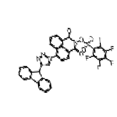 O=C1c2cccc3c(-n4cc(C5c6ccccc6-c6ccccc65)nn4)ccc(c23)C(=O)N1OS(=O)(=O)c1c(F)c(F)c(F)c(F)c1F